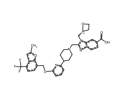 Cc1cc2c(C(F)(F)F)ccc(COc3cccc(C4CCN(Cc5nc6ccc(C(=O)O)cc6n5C[C@@H]5CCO5)CC4)n3)c2o1